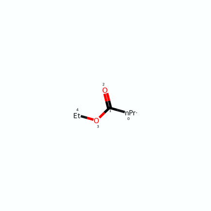 [CH2]C[CH]C(=O)OCC